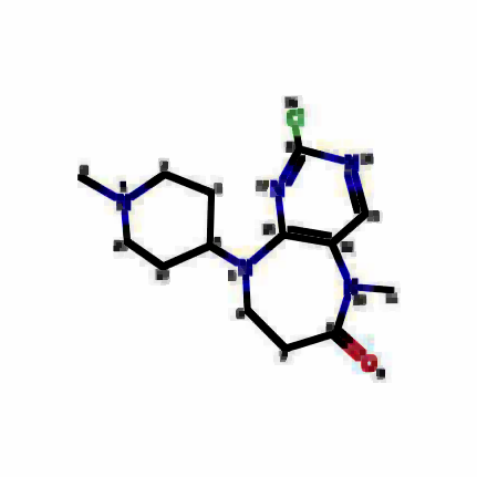 CN1CCC(N2CCC(=O)N(C)c3cnc(Cl)nc32)CC1